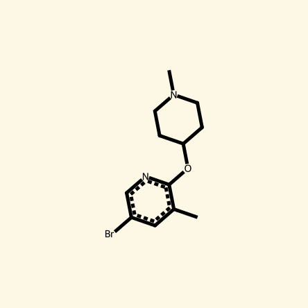 Cc1cc(Br)cnc1OC1CCN(C)CC1